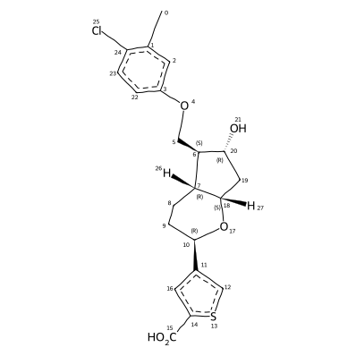 Cc1cc(OC[C@@H]2[C@H]3CC[C@H](c4csc(C(=O)O)c4)O[C@H]3C[C@H]2O)ccc1Cl